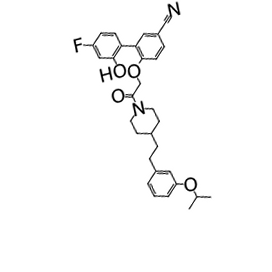 CC(C)Oc1cccc(CCC2CCN(C(=O)COc3ccc(C#N)cc3-c3ccc(F)cc3O)CC2)c1